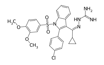 COc1ccc(S(=O)(=O)n2c(-c3ccc(Cl)cc3)c(/C(=N\NC(=N)N)C3CC3)c3ccccc32)cc1OC